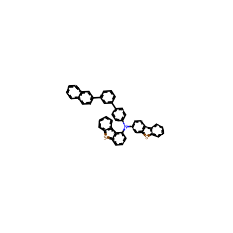 c1cc(-c2ccc(N(c3ccc4c(c3)sc3ccccc34)c3cccc4sc5ccccc5c34)cc2)cc(-c2ccc3ccccc3c2)c1